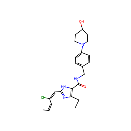 C/C=C\C(Cl)=C/c1nc(CC)c(C(=O)NCc2ccc(N3CCC(O)CC3)cc2)[nH]1